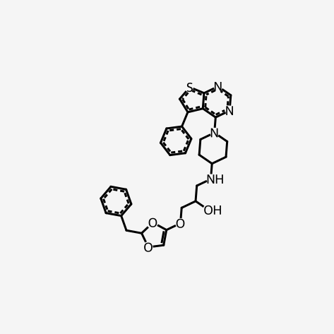 OC(CNC1CCN(c2ncnc3scc(-c4ccccc4)c23)CC1)COC1=COC(Cc2ccccc2)O1